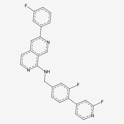 Fc1cccc(-c2cc3ccnc(NCc4ccc(-c5ccnc(F)c5)c(F)c4)c3cn2)c1